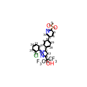 CS(=O)(=O)c1ccc(-c2ccc(C3CC(C(O)(C(F)(F)F)C(F)(F)F)=NN3c3ccccc3Cl)cc2)cn1